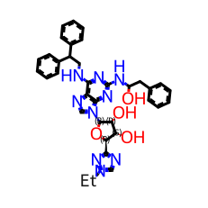 CCn1cnc([C@H]2O[C@@H](n3cnc4c(NCC(c5ccccc5)c5ccccc5)nc(NC(O)Cc5ccccc5)nc43)[C@H](O)[C@@H]2O)n1